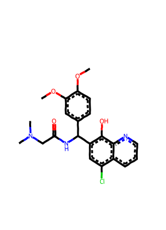 COc1ccc(C(NC(=O)CN(C)C)c2cc(Cl)c3cccnc3c2O)cc1OC